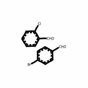 O=Cc1ccc(Br)cc1.O=Cc1ccccc1Cl